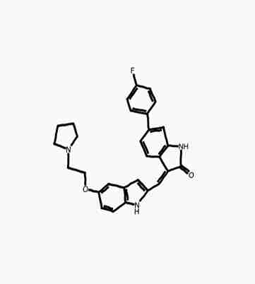 O=C1Nc2cc(-c3ccc(F)cc3)ccc2/C1=C\c1cc2cc(OCCN3CCCC3)ccc2[nH]1